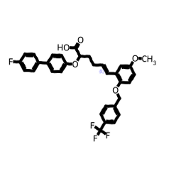 COc1ccc(OCc2ccc(C(F)(F)F)cc2)c(/C=C/CCC(Oc2ccc(-c3ccc(F)cc3)cc2)C(=O)O)c1